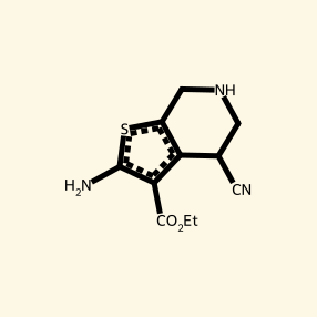 CCOC(=O)c1c(N)sc2c1C(C#N)CNC2